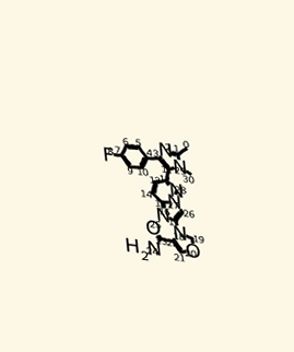 Cc1nc(-c2ccc(F)cc2)c(-c2ccc3nc(N4COC=C4C(N)=O)cn3n2)n1C